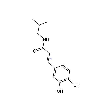 CC(C)CNC(=O)/C=C/c1ccc(O)c(O)c1